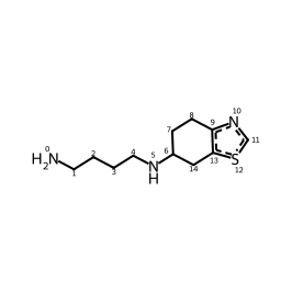 NCCCCNC1CCc2ncsc2C1